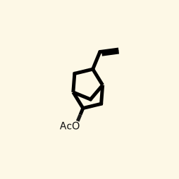 C=CC1CC2CC1CC2OC(C)=O